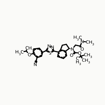 CC(C)Oc1ccc(-c2nnc(-c3cccc4c3CC[C@@H]4N(CC(=O)N(C)C)C(=O)OC(C)(C)C)s2)cc1C#N